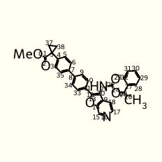 COC(=O)C1(c2ccc(-c3ccc(-c4oc5cnccc5c4NC(=O)O[C@H](C)c4ccccc4)cc3)cc2)CC1